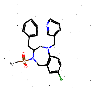 CS(=O)(=O)N1Cc2cc(Br)ccc2N(Cc2cccnc2)CC1Cc1ccccc1